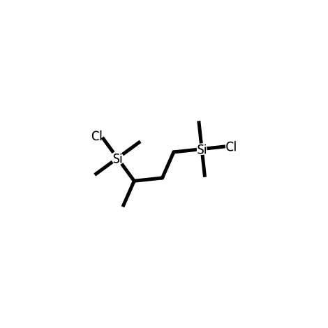 CC(CC[Si](C)(C)Cl)[Si](C)(C)Cl